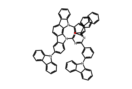 c1ccc(-c2cccc(-n3c4ccccc4c4ccc5c6cc(-n7c8ccccc8c8ccccc87)ccc6n(-c6nc(-c7ccccc7)nc(-c7cccc(-n8c9ccccc9c9ccccc98)c7)n6)c5c43)c2)cc1